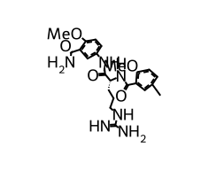 COc1ccc(NC(=O)[C@@H](CCCNC(=N)N)NC(=O)c2cc(C)ccc2OC)cc1C(N)=O